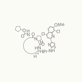 COc1ccc2c(O[C@@H]3C[C@H]4C(=O)N[C@@H]5C[C@H]5CCCCCCC[C@H](NC(=O)OC5CCCC5)C(=O)N4C3)cc(-c3csc(NC(C)C)n3)nc2c1Cl